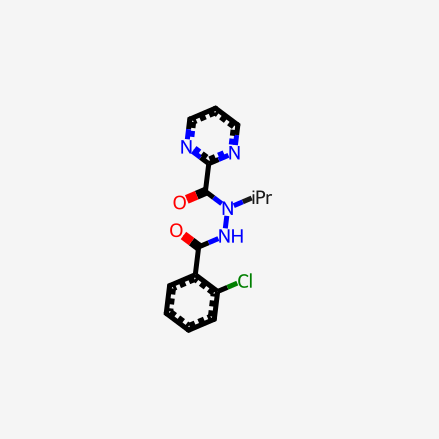 CC(C)N(NC(=O)c1ccccc1Cl)C(=O)c1ncccn1